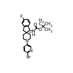 CC(C)(C)OC(=O)N[C@@H]1c2ccc(F)cc2CC12CCN(c1ccc(Br)nc1)CC2